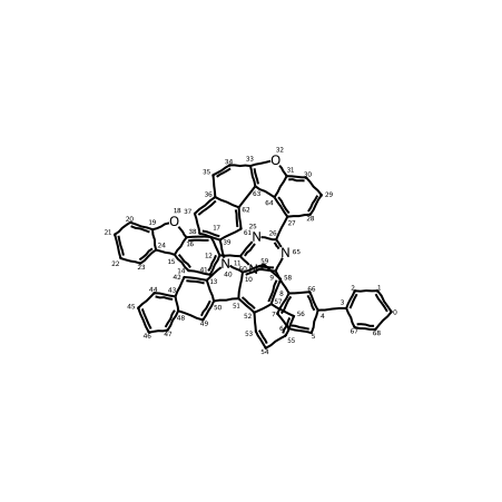 c1ccc(-c2cccc(-c3nc(-c4ccc5c(c4)oc4ccccc45)nc(-c4cccc5oc6ccc7ccc(-n8c9cc%10ccccc%10cc9c9c%10ccccc%10ccc98)cc7c6c45)n3)c2)cc1